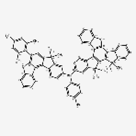 Cc1cc(C)c(-c2cc3c(c4c2oc2ccccc24)-c2ccc(N(c4ccc(C(C)(C)C)cc4)c4ccc5c(c4)C(C)(C)c4c6c(c7oc8ccccc8c7c4-5)-c4ccccc4C6(C)C)cc2C3(C)C)c(C)c1